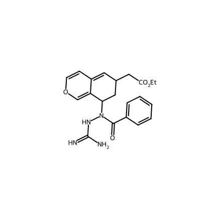 CCOC(=O)CC1C=C2C=COC=C2C(N(NC(=N)N)C(=O)c2ccccc2)C1